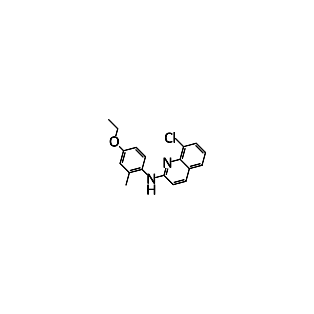 CCOc1ccc(Nc2ccc3cccc(Cl)c3n2)c(C)c1